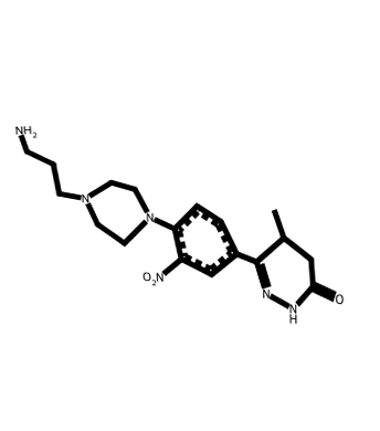 CC1CC(=O)NN=C1c1ccc(N2CCN(CCCN)CC2)c([N+](=O)[O-])c1